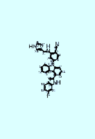 N#Cc1ccc(-n2c3ccccc3c3c(-c4nc5ccc(F)cc5[nH]4)cccc32)cc1NCc1c[nH]cn1